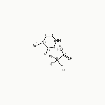 CC(=O)N1CCNCC1C.O=C(O)C(F)(F)F